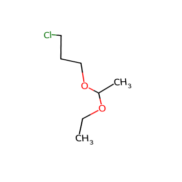 CCOC(C)OCCCCl